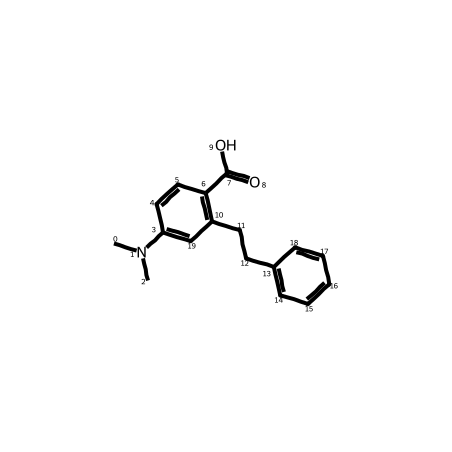 CN(C)c1ccc(C(=O)O)c(CCc2ccccc2)c1